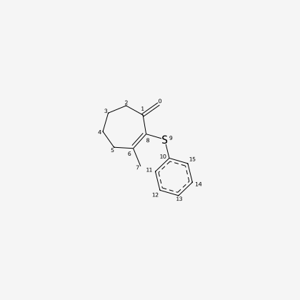 C=C1CCCCC(C)=C1Sc1ccccc1